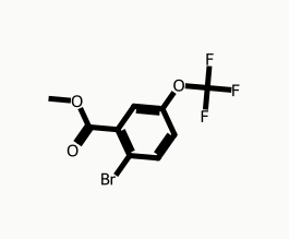 COC(=O)c1cc(OC(F)(F)F)ccc1Br